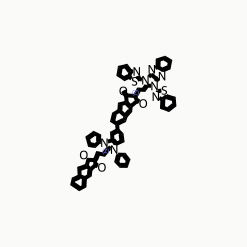 O=C1C(=C/C=C2/N(c3ccccc3)c3ccc(-c4ccc5cc6c(cc5c4)C(=O)/C(=C\C=C4N(c5nc7ccccc7s5)c5nc7ccccc7nc5N4c4nc5ccccc5s4)C6=O)cc3N2c2ccccc2)C(=O)c2cc3ccccc3cc21